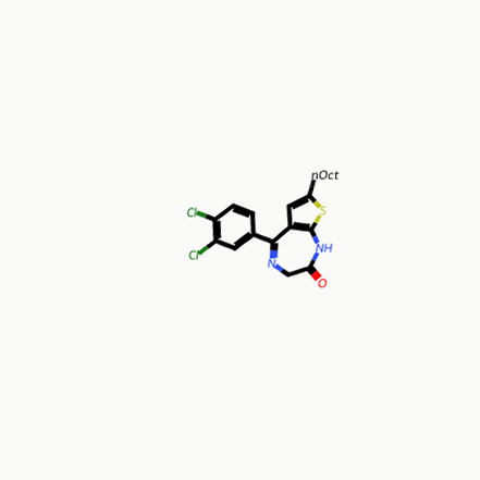 CCCCCCCCc1cc2c(s1)NC(=O)CN=C2c1ccc(Cl)c(Cl)c1